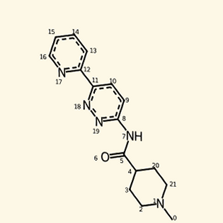 CN1CCC(C(=O)Nc2ccc(-c3ccccn3)nn2)CC1